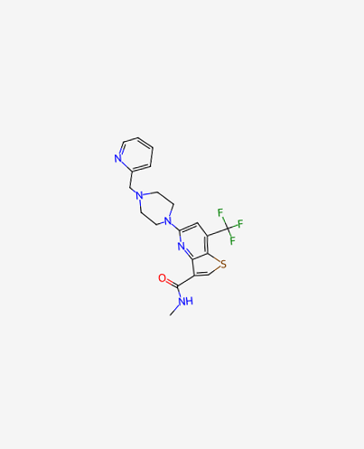 CNC(=O)c1csc2c(C(F)(F)F)cc(N3CCN(Cc4ccccn4)CC3)nc12